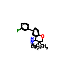 CC1(C)COc2ccc(-c3cccc(F)c3)cc2C1NC(=O)O